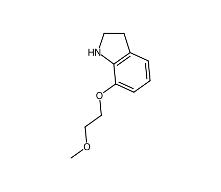 COCCOc1cccc2c1NCC2